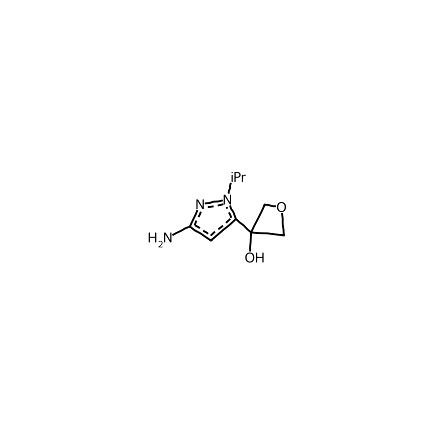 CC(C)n1nc(N)cc1C1(O)COC1